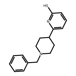 Sc1cccc(C2CCN(Cc3ccccc3)CC2)n1